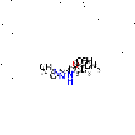 CC1CC1c1ccc2nc([C@H]3CC(O[Si](C)(C)C(C)(C)C)CN3)cn2c1